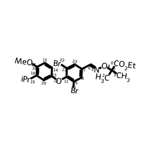 CCOC(=O)C(C)(C)ON=Cc1cc(Br)c(Oc2ccc(OC)c(C(C)C)c2)c(Br)c1